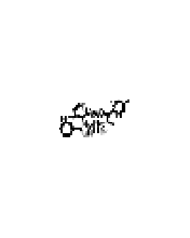 COc1nccc(O)c1-n1c(N[S+]([O-])C(C)C(OC)c2ncc(C)cn2)nnc1-c1c#cccc1